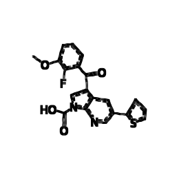 COc1cccc(C(=O)c2cn(C(=O)O)c3ncc(-c4cccs4)cc23)c1F